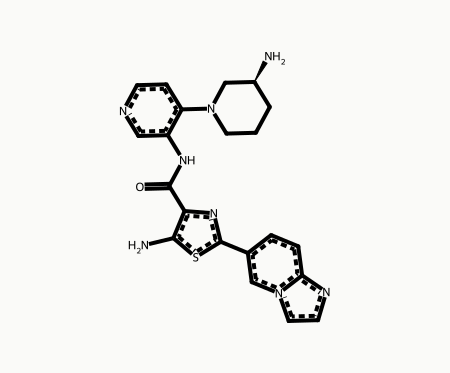 Nc1sc(-c2ccc3nccn3c2)nc1C(=O)Nc1cnccc1N1CCC[C@H](N)C1